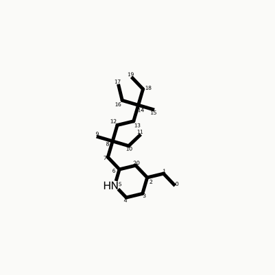 CCC1CCNC(CC(C)(CC)CCC(C)(CC)CC)C1